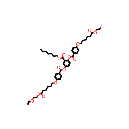 C=COCCOC(=O)CCCCCOc1ccc(C(=O)Oc2ccc(OC(=O)c3ccc(OCCCCCC(=O)OCCI)cc3)c(C(=O)OCCCCCCC)c2)cc1